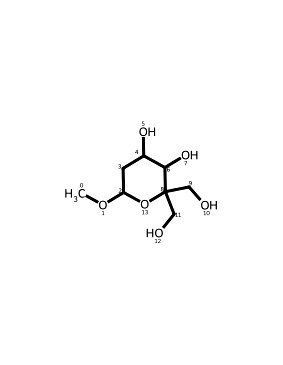 COC1CC(O)C(O)C(CO)(CO)O1